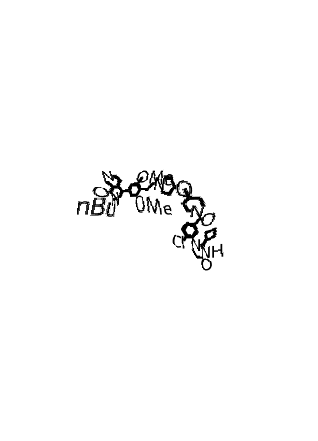 CCCCn1cc(-c2cc(OC)c(CCN3CCC(OC4CCN(C(=O)c5ccc(Cl)c(N6CCC(=O)NC6=C6CCC6)c5)CC4)CC3)c(OC)c2)c2ccncc2c1=O